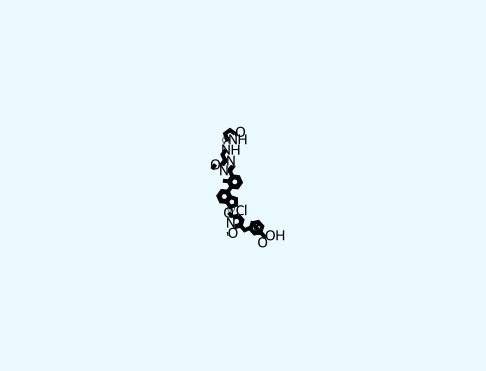 COc1nc(O[C@H]2CCc3c(-c4cccc(-c5cnc(CNC[C@@H]6CCC(=O)N6)c(OC)n5)c4C)cccc32)c(Cl)cc1CN1CC2(C(=O)O)CCC1CC2